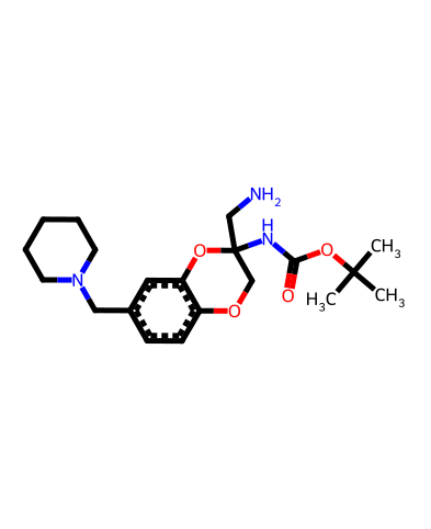 CC(C)(C)OC(=O)NC1(CN)COc2ccc(CN3CCCCC3)cc2O1